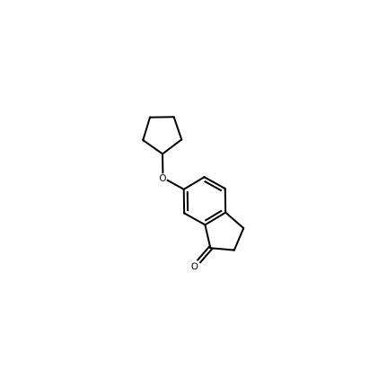 O=C1CCc2ccc(OC3CCCC3)cc21